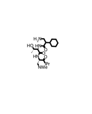 CNC[C@H](NC(=O)[C@@H](NC(=O)C(CN)C1CCCCC1)[C@H](C)O)C(=O)C(C)C